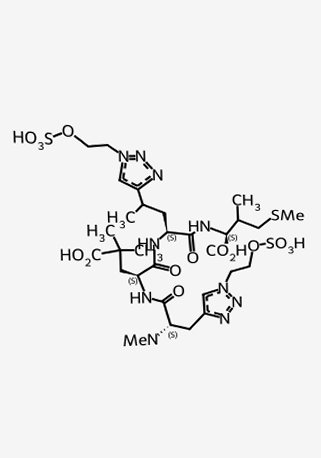 CN[C@@H](Cc1cn(CCOS(=O)(=O)O)nn1)C(=O)N[C@@H](CC(C)(C)C(=O)O)C(=O)N[C@@H](CC(C)c1cn(CCOS(=O)(=O)O)nn1)C(=O)N[C@H](C(=O)O)C(C)CSC